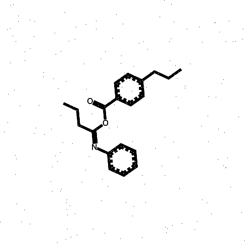 CCCC(=Nc1ccccc1)OC(=O)c1ccc(CCC)cc1